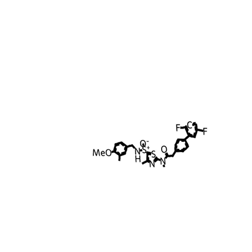 COc1ccc(CN[S+]([O-])c2sc(N(C)C(=O)Cc3ccc(-c4cc(F)ccc4F)cc3)nc2C)cc1C